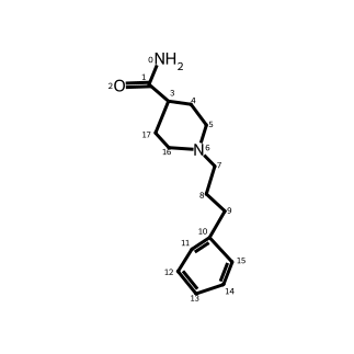 NC(=O)C1CCN(CCCc2ccccc2)CC1